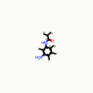 Cc1c(C)c(N)c(C)c(NC(=O)C(C)C)c1C